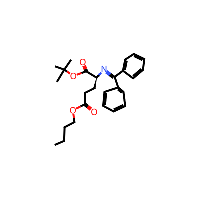 CCCCOC(=O)CC[C@H](N=C(c1ccccc1)c1ccccc1)C(=O)OC(C)(C)C